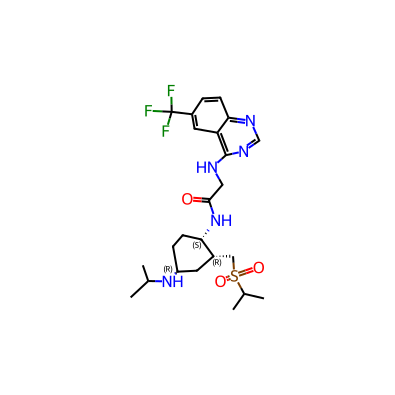 CC(C)N[C@@H]1CC[C@H](NC(=O)CNc2ncnc3ccc(C(F)(F)F)cc23)[C@H](CS(=O)(=O)C(C)C)C1